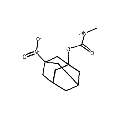 CNC(=O)OC12CC3CC(C1)CC([N+](=O)[O-])(C3)C2